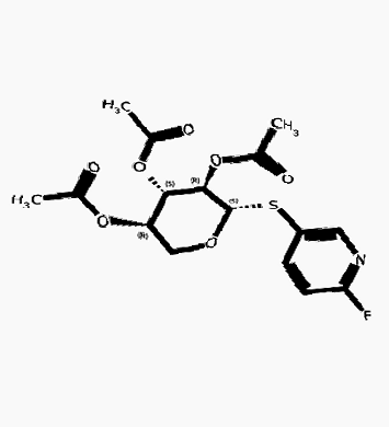 CC(=O)O[C@@H]1[C@@H](OC(C)=O)[C@H](Sc2ccc(F)nc2)OC[C@H]1OC(C)=O